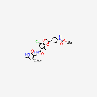 COc1cc(C)[nH]c(=O)c1CNC(=O)c1cc(Cl)c2c(c1C)O[C@@H]([C@H]1CC[C@@H](NC(=O)OC(C)(C)C)CC1)CO2